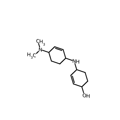 CN(C)C1C=CC(NC2C=CC(O)CC2)CC1